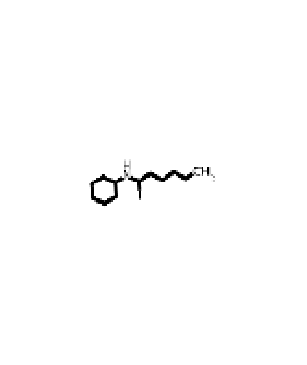 CCCCCC(I)NC1CCCCC1